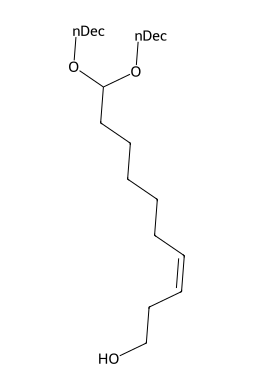 CCCCCCCCCCOC(CCCCC/C=C\CCO)OCCCCCCCCCC